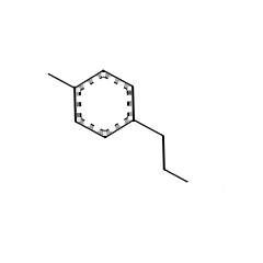 CCOC(=O)[CH]Cc1ccc(Cl)cc1